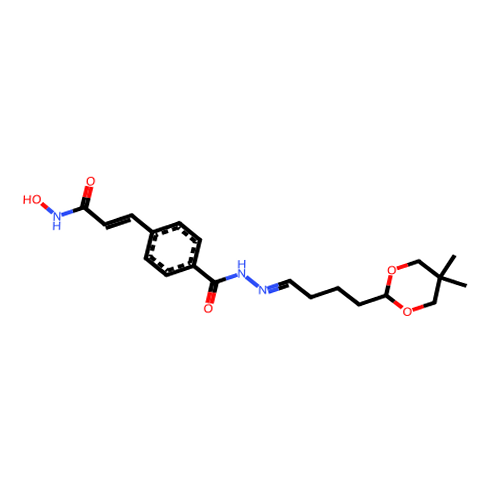 CC1(C)COC(CCC/C=N/NC(=O)c2ccc(/C=C/C(=O)NO)cc2)OC1